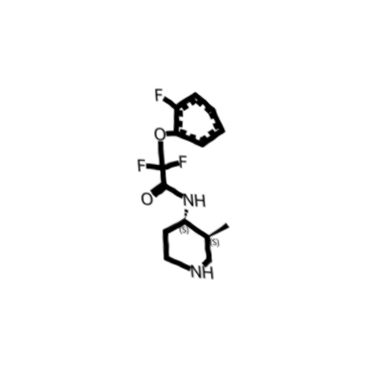 C[C@H]1CNCC[C@@H]1NC(=O)C(F)(F)Oc1ccccc1F